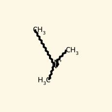 CCCCCCCCCCCCCCCCCCc1n(CCCCCCC)cc[n+]1CCCCCCCC